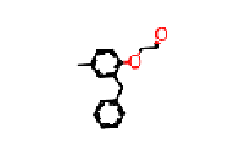 Cc1ccc(OCC=O)c(Cc2ccccc2)c1